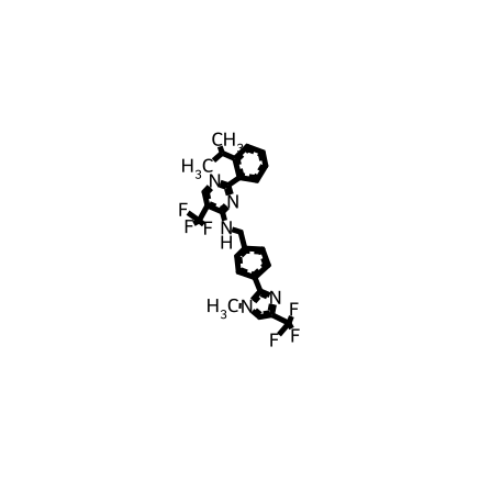 CC(C)c1ccccc1-c1ncc(C(F)(F)F)c(NCc2ccc(-c3nc(C(F)(F)F)cn3C)cc2)n1